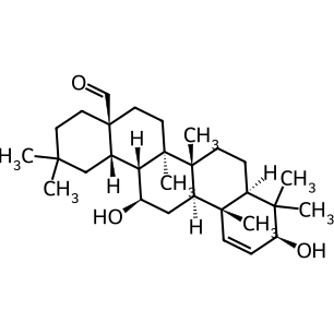 CC1(C)CC[C@]2(C=O)CC[C@]3(C)[C@H]([C@H](O)C[C@@H]4[C@@]5(C)C=C[C@H](O)C(C)(C)[C@@H]5CC[C@]43C)[C@@H]2C1